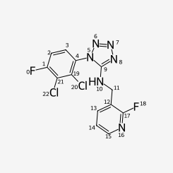 Fc1ccc(-n2nnnc2NCc2cccnc2F)c(Cl)c1Cl